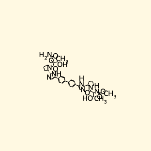 COC(=O)N[C@H](C(=O)N1CCCC1c1ncc(-c2ccc(-c3ccc(-c4cnc([C@@H]5CCCN5C(=O)[C@@H](OC(N)=O)[C@H](C)O)[nH]4)cc3)cc2)[nH]1)[C@H](C)O